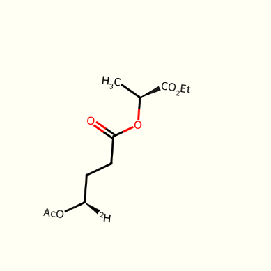 [2H][C@H](CCC(=O)O[C@@H](C)C(=O)OCC)OC(C)=O